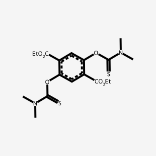 CCOC(=O)c1cc(OC(=S)N(C)C)c(C(=O)OCC)cc1OC(=S)N(C)C